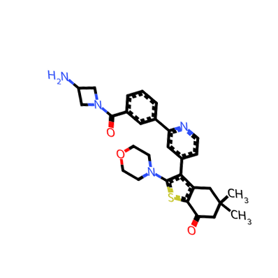 CC1(C)CC(=O)c2sc(N3CCOCC3)c(-c3ccnc(-c4cccc(C(=O)N5CC(N)C5)c4)c3)c2C1